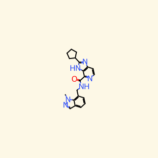 Cn1ncc2cccc(CNC(=O)c3nccc4nc(C5CCCC5)[nH]c34)c21